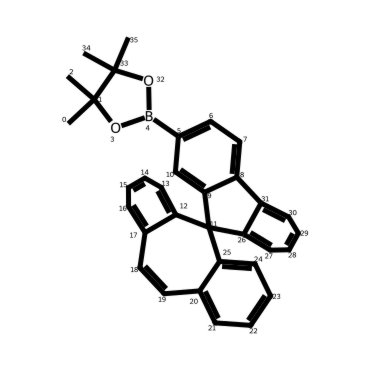 CC1(C)OB(c2ccc3c(c2)C2(c4ccccc4C=Cc4ccccc42)c2ccccc2-3)OC1(C)C